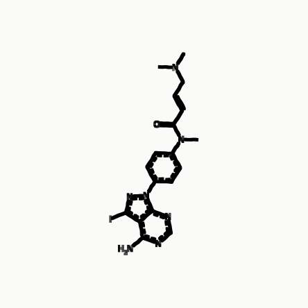 CN(C)CC=CC(=O)N(C)c1ccc(-n2nc(I)c3c(N)ncnc32)cc1